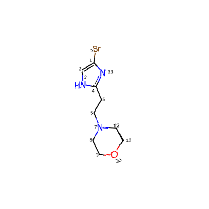 Brc1c[nH]c(CCN2CCOCC2)n1